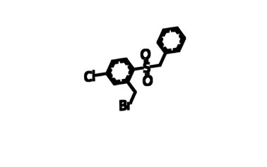 O=S(=O)(Cc1ccccc1)c1ccc(Cl)cc1CBr